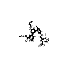 CNC(=O)c1cc(-c2cc(-c3cc(NC(=O)c4cc(C(N)=O)cnn4)ccc3C)cc(OCCO)n2)ccn1